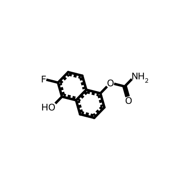 NC(=O)Oc1cccc2c(O)c(F)ccc12